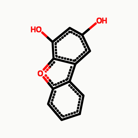 Oc1cc(O)c2oc3ccccc3c2c1